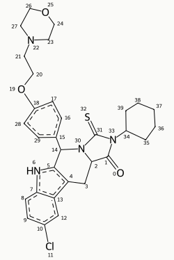 O=C1C2Cc3c([nH]c4ccc(Cl)cc34)C(c3ccc(OCCN4CCOCC4)cc3)N2C(=S)N1C1CCCCC1